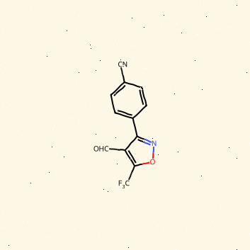 N#Cc1ccc(-c2noc(C(F)(F)F)c2C=O)cc1